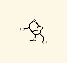 COC1C(CO)OC2OCC(O)C1O2